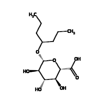 CCCC(CCC)O[C@@H]1O[C@H](C(=O)O)[C@@H](O)[C@H](O)[C@H]1O